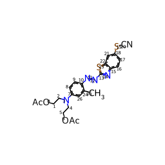 CC(=O)OCCN(CCOC(C)=O)c1ccc(N=Nc2nc3ccc(SC#N)cc3s2)c(C)c1